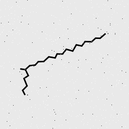 [CH2]CCCCCCCCCCCCCCCCC(C)CCCC[CH2]